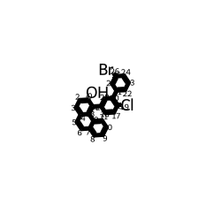 Oc1ccc2ccc3ccccc3c2c1-c1ccc(Cl)c(-c2cccc(Br)c2)c1